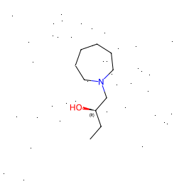 CC[C@@H](O)CN1CCCCCC1